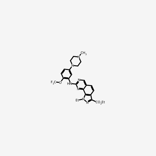 CCOC(=O)c1nn(CC)c2c1ccc1cnc(Nc3cc(N4CCN(C)CC4)ccc3OC(F)(F)F)nc12